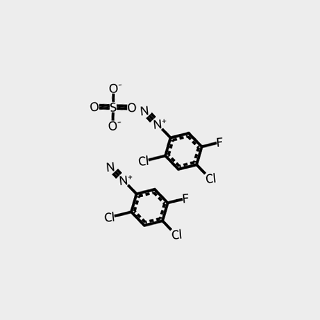 N#[N+]c1cc(F)c(Cl)cc1Cl.N#[N+]c1cc(F)c(Cl)cc1Cl.O=S(=O)([O-])[O-]